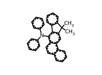 CC1(C)c2ccccc2-c2c1cc1c(ccc3ccccc31)c2N(c1ccccc1)c1ccccc1